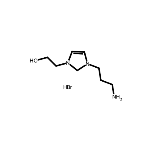 Br.NCCCN1C=CN(CCO)C1